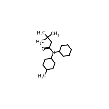 CC1CCC(N(C(=O)CC(C)(C)C)C2CCCCC2)CC1